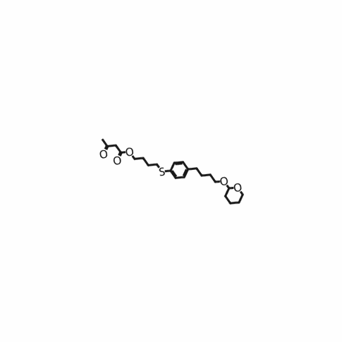 CC(=O)CC(=O)OCCCCSc1ccc(CCCCOC2CCCCO2)cc1